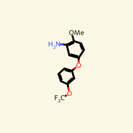 COc1ccc(Oc2cccc(OC(F)(F)F)c2)cc1N